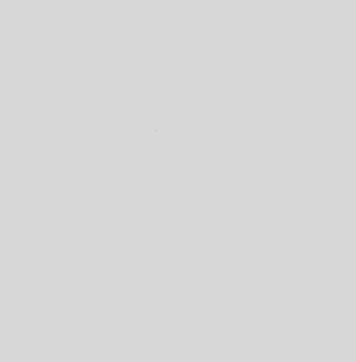 C=C(C)C(=O)OCC(C)CC(C)C=CC